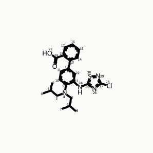 CC(C)CN(CC(C)C)c1ccc(-c2ccccc2C(=O)O)cc1Nc1nc(Cl)ns1